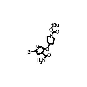 CC(C)(C)OC(=O)N1CCC(Oc2cnc(Br)cc2C(N)=O)CC1